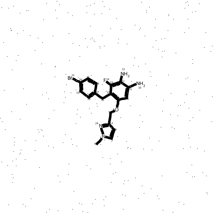 Cn1ccc(COc2cc(N)c(N)c(F)c2Cc2ccc(Br)cc2)n1